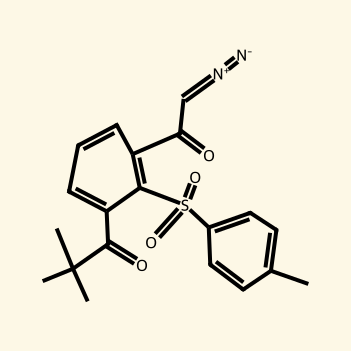 Cc1ccc(S(=O)(=O)c2c(C(=O)C=[N+]=[N-])cccc2C(=O)C(C)(C)C)cc1